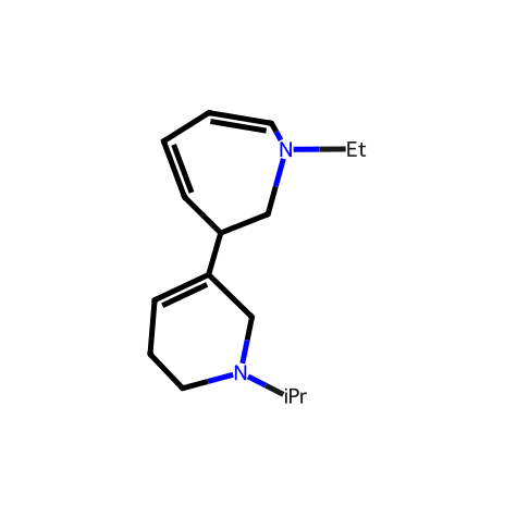 CCN1C=CC=CC(C2=CCCN(C(C)C)C2)C1